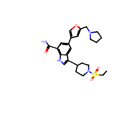 CCS(=O)(=O)N1CCC(c2c[nH]c3c(C(N)=O)cc(-c4coc(CN5CCCC5)c4)cc23)CC1